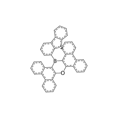 c1ccc2c(c1)sc1c(B3c4c(c5ccccc5c5ccccc45)Oc4c3c3ccccc3c3ccccc43)cccc12